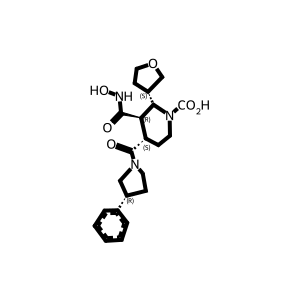 O=C(NO)[C@H]1C([C@@H]2CCOC2)N(C(=O)O)CC[C@@H]1C(=O)N1CC[C@H](c2ccccc2)C1